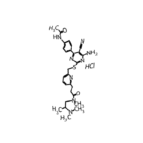 CC(=O)Nc1ccc(-c2nc(SCc3cccc(CCC(=O)N(C)CC(C)N(C)C)n3)nc(N)c2C#N)cc1.Cl